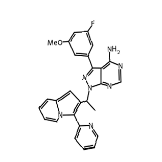 COc1cc(F)cc(-c2nn(C(C)c3cc4ccccn4c3-c3ccccn3)c3ncnc(N)c23)c1